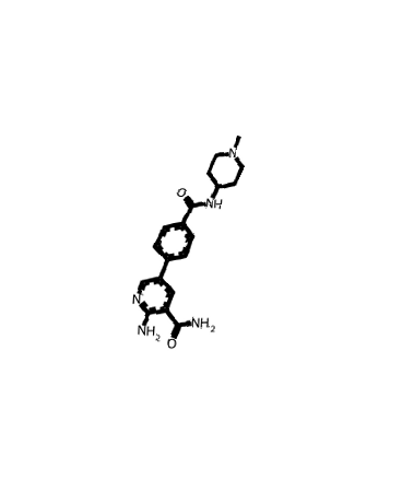 CN1CCC(NC(=O)c2ccc(-c3cnc(N)c(C(N)=O)c3)cc2)CC1